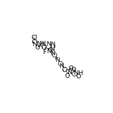 Nc1nccn2c(N3CCC4(CC3)CN(C3CCN(c5ccc6c(c5)C(=O)N(C5CCC(=O)NC5=O)C6=O)CC3)C4)nc(-c3ccc(C(=O)Nc4cc(Cl)ccn4)cc3F)c12